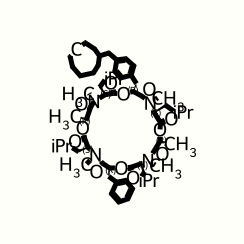 CC(C)C[C@H]1C(=O)O[C@H](Cc2ccc(CC3CCCCCCCC3)cc2)C(=O)N(C)[C@@H](CC(C)C)C(=O)O[C@H](C)C(=O)N(C)[C@@H](CC(C)C)C(=O)O[C@H](Cc2ccccc2)C(=O)N(C)[C@@H](CC(C)C)C(=O)O[C@H](C)C(=O)N1C